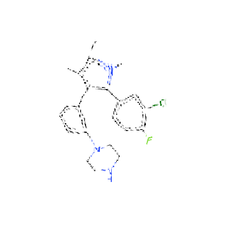 Cc1c(-c2cccc(N3CCNCC3)c2)c(-c2ccc(F)c(Cl)c2)n(C)c1C